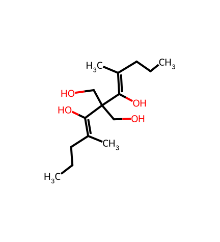 CCCC(C)=C(O)C(CO)(CO)C(O)=C(C)CCC